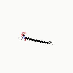 CCCCCCCCCCCCCCCCCCCC(=O)N(C)CC(=O)O